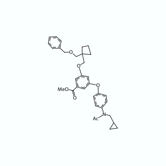 COC(=O)c1cc(OCC2(COCc3ccccc3)CCC2)cc(Oc2ccc(N(CC3CC3)C(C)=O)cc2)c1